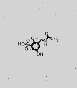 CC(=O)NCc1cc(O)cc(S(=O)(=O)O)c1O